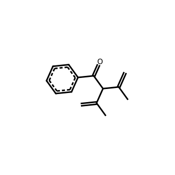 C=C(C)C(C(=C)C)C(=O)c1ccccc1